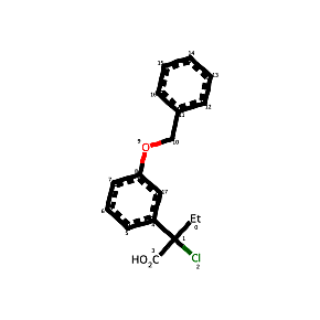 CCC(Cl)(C(=O)O)c1cccc(OCc2ccccc2)c1